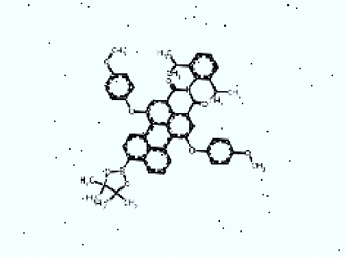 COc1ccc(Oc2cc3c4c(cc(Oc5ccc(OC)cc5)c5c6ccc(B7OC(C)(C)C(C)(C)O7)c7cccc(c2c45)c76)C(=O)N(c2c(C(C)C)cccc2C(C)C)C3=O)cc1